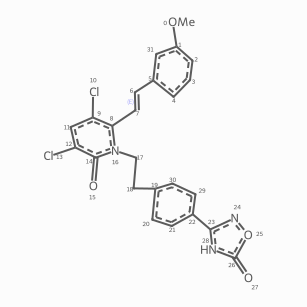 COc1cccc(/C=C/c2c(Cl)cc(Cl)c(=O)n2CCc2ccc(-c3noc(=O)[nH]3)cc2)c1